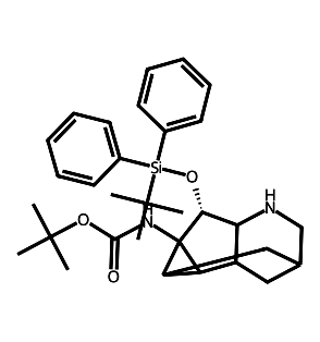 CC(C)(C)OC(=O)NC12C3CC4CNC(C(C4)C31)[C@H]2O[Si](c1ccccc1)(c1ccccc1)C(C)(C)C